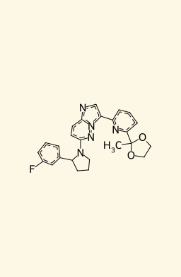 CC1(c2cccc(-c3cnc4ccc(N5CCCC5c5cccc(F)c5)nn34)n2)OCCO1